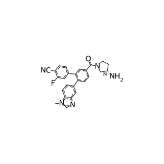 Cn1cnc2cc(-c3ccc(C(=O)N4CC[C@H](N)C4)cc3-c3ccc(C#N)c(F)c3)ccc21